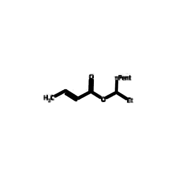 CC=CC(=O)OC(CC)CCCCC